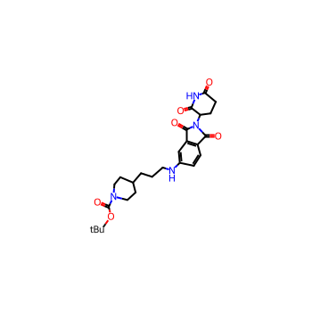 CC(C)(C)OC(=O)N1CCC(CCCNc2ccc3c(c2)C(=O)N(C2CCC(=O)NC2=O)C3=O)CC1